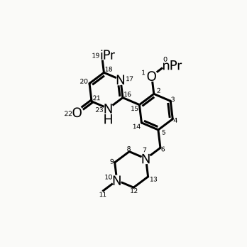 CCCOc1ccc(CN2CCN(C)CC2)cc1-c1nc(C(C)C)cc(=O)[nH]1